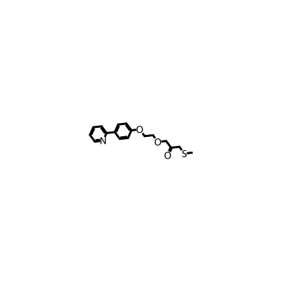 CSCC(=O)COCCOc1ccc(-c2ccccn2)cc1